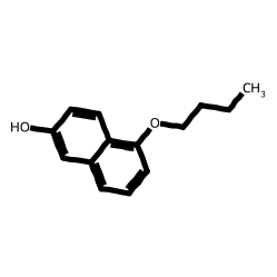 CCCCOc1cccc2cc(O)ccc12